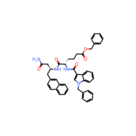 NC(=O)C[C@H](Cc1ccc2ccccc2c1)NC(=O)[C@H](CCCC(=O)OCc1ccccc1)NC(=O)c1cn(Cc2ccccc2)c2ccccc12